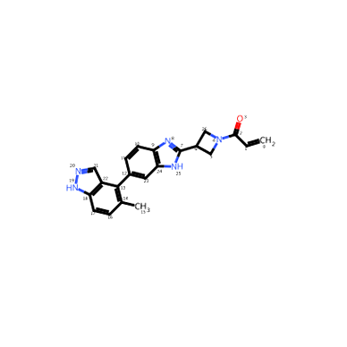 C=CC(=O)N1CC(c2nc3ccc(-c4c(C)ccc5[nH]ncc45)cc3[nH]2)C1